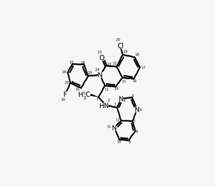 C[C@H](Nc1ncnc2cccnc12)c1cc2cccc(Cl)c2c(=O)n1-c1cccc(F)c1